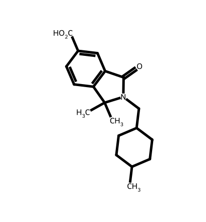 CC1CCC(CN2C(=O)c3cc(C(=O)O)ccc3C2(C)C)CC1